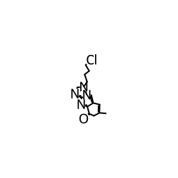 CC1=CC2=CN3C(=NCN3CCCCCl)N=C2C(=O)C1